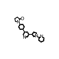 O=C1CCCN1c1ccc(-c2cncc(-c3ccn(-c4ccccn4)c3)c2)cc1